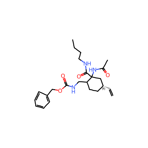 C=C[C@@H]1CCC(CNC(=O)OCc2ccccc2)C(NC(C)=O)(C(=O)NCCCC)C1